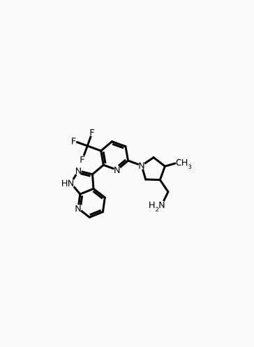 CC1CN(c2ccc(C(F)(F)F)c(-c3n[nH]c4ncccc34)n2)CC1CN